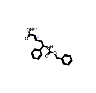 COC(=O)/C=C/CC(NC(=O)OCc1ccccc1)c1ccccc1